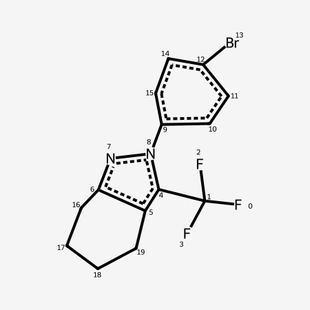 FC(F)(F)c1c2c(nn1-c1ccc(Br)cc1)CCCC2